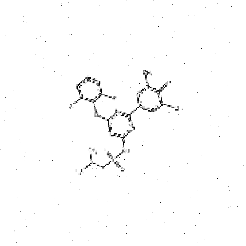 Cc1cccc(F)c1Oc1nc(NS(=O)(=O)CC(C)C)nc(-c2cc(C)c(=O)n(C)c2)n1